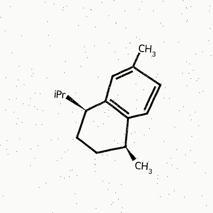 Cc1ccc2c(c1)[C@H](C(C)C)CC[C@@H]2C